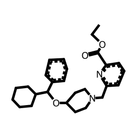 CCOC(=O)c1cccc(CN2CCC(OC(c3ccccc3)C3CCCCC3)CC2)n1